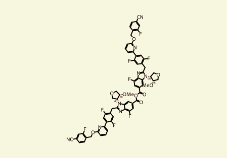 CO[C@H]1COC[C@H]1n1c(Cc2cc(F)c(-c3cccc(OCc4ccc(C#N)cc4F)n3)cc2F)nc2c(F)cc(C(=O)OC(=O)c3cc(F)c4nc(Cc5cc(F)c(-c6cccc(OCc7ccc(C#N)cc7F)n6)cc5F)n([C@@H]5COC[C@@H]5OC)c4c3)cc21